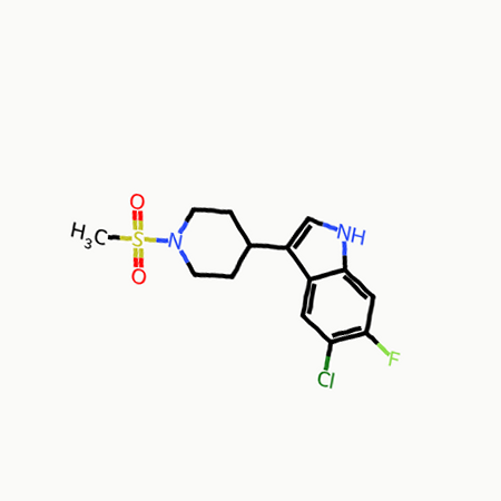 CS(=O)(=O)N1CCC(c2c[nH]c3cc(F)c(Cl)cc23)CC1